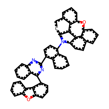 c1ccc2c(-c3cccc4oc5ccccc5c34)nc(-c3ccc(-n4c5ccc6cccc7oc8cccc9ccc4c(c98)c5c67)c4ccccc34)nc2c1